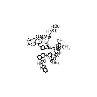 COC(=O)[C@@H]1OC(Cc2ccc(CN(CCOCCOCCNC(=O)OC(C)(C)C)CCOC34CC5(C)CC(C)(CC(Cn6ncc(-c7ccc(N8CCc9cccc(C(=O)Nc%10nc%11ccccc%11s%10)c9C8)nc7C(=O)OC(C)(C)C)c6C)(C5)C3)C4)cc2)[C@@H](OC(C)=O)[C@H](OC(C)=O)[C@H]1OC(C)=O